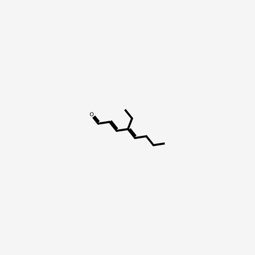 CCC/C=C(/C=C/C=O)CC